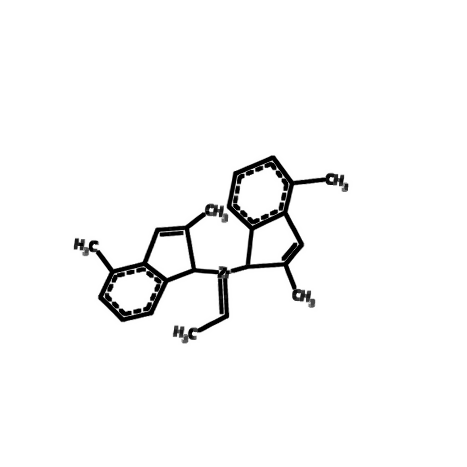 C[CH]=[Zr]([CH]1C(C)=Cc2c(C)cccc21)[CH]1C(C)=Cc2c(C)cccc21